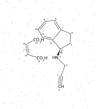 C#CCN[C@@H]1CCc2ccccc21.O=C(O)/C=C\C(=O)O